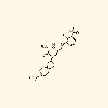 CC(C)(C)OC(=O)N(C[C@H](O)COc1cccc(S(C)(=O)=O)c1F)C1COC2(CCN(C(=O)O)CC2)C1